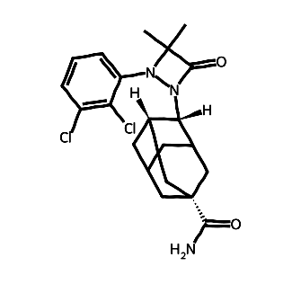 CC1(C)C(=O)N([C@@H]2C3CC4C[C@H]2C[C@](C(N)=O)(C4)C3)N1c1cccc(Cl)c1Cl